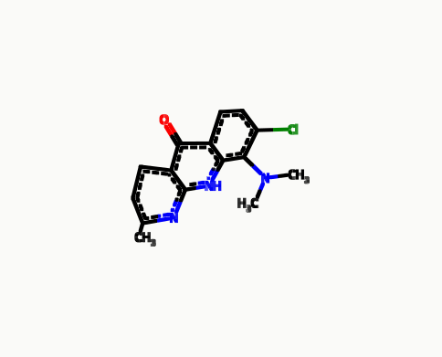 Cc1ccc2c(=O)c3ccc(Cl)c(N(C)C)c3[nH]c2n1